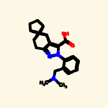 CN(C)Cc1ccccc1-n1nc2c(c1C(=O)O)CC1(CCCC1)CC2